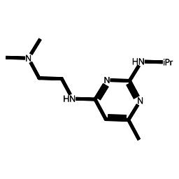 Cc1cc(NCCN(C)C)nc(NC(C)C)n1